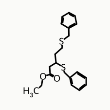 CCOC(=O)CC(CCSCc1ccccc1)SCc1ccccc1